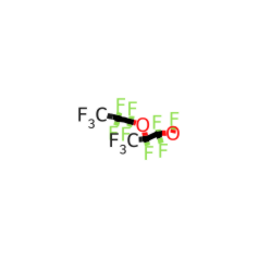 FOC(F)(F)C(F)(OC(F)(F)C(F)(F)C(F)(F)F)C(F)(F)F